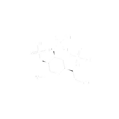 CCCCOC[C@H]1O[C@H](OC)[C@@H](OP(=O)(O)O)[C@@H](OP(=O)(O)O)[C@@H]1OP(=O)(O)O